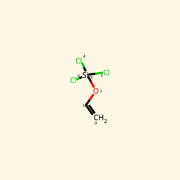 C=CO[Si](Cl)(Cl)Cl